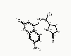 Cc1cc(=O)oc2cc(N)ccc12.O=C1CCC(C(=O)O)N1